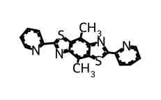 Cc1c2nc(-c3ccccn3)sc2c(C)c2nc(-c3ccccn3)sc12